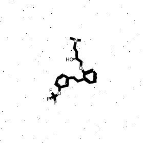 CN(C)CC[C@H](O)COc1ccccc1CCc1cccc(OC(F)(F)F)c1